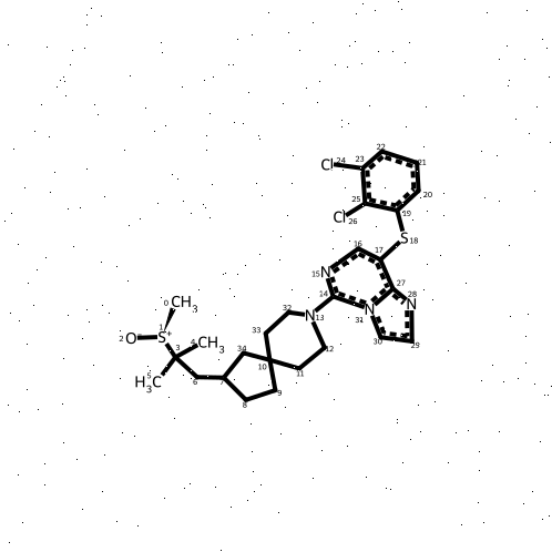 C[S@+]([O-])C(C)(C)CC1CCC2(CCN(c3ncc(Sc4cccc(Cl)c4Cl)c4nccn34)CC2)C1